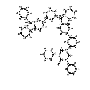 C=N/C(=N\C(=N/Cc1ccccc1)c1cccc(-c2ccc3c(c2)C2CC=CC=C2N3c2cccc(-c3ccc4c5ccccc5n(-c5ccccc5)c4c3)c2)c1)c1ccccc1